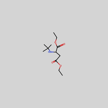 CCOC(=O)CC(NC(C)(C)C)C(=O)OCC